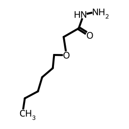 CCCCCCOCC(=O)NN